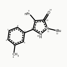 CCCc1c(-c2cccc(C)c2)[nH]n(C(C)(C)C)c1=O